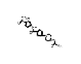 COC(=O)c1ccc(NC(=O)c2ccc(N3CCN(OC(=O)C(C)(C)C)CC3)cc2)cc1